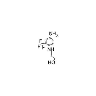 Nc1ccc(NCCCO)c(C(F)(F)F)c1